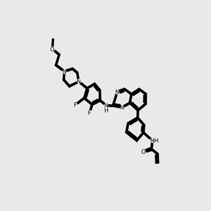 C=CC(=O)Nc1cccc(-c2cccc3cnc(Nc4ccc(N5CCN(CCOC)CC5)c(F)c4F)nc23)c1